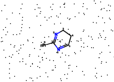 CCCC1=NCCC=N1